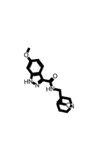 COc1ccc2c(C(=O)NCC3CN4CCC3CC4)n[nH]c2c1